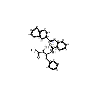 NC(=O)C(O)C(Cc1ccccc1)NC(=O)c1ccccc1/C=C/c1ccc2ccccc2c1